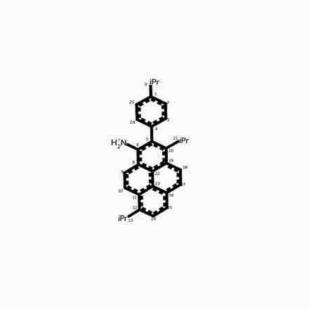 CC(C)c1ccc(-c2c(N)c3ccc4c(C(C)C)ccc5ccc(c2C(C)C)c3c54)cc1